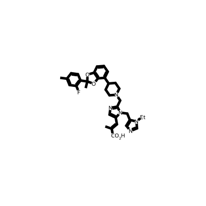 CCn1cncc1Cn1c(/C=C(\C)C(=O)O)cnc1CN1CCC(c2cccc3c2OC(C)(c2ccc(C)cc2F)O3)CC1